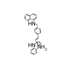 Nc1ccccc1NC(=O)C=Cc1ccc(CNc2cccc3ccccc23)cc1